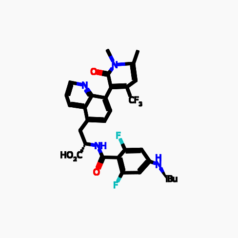 CC[C@H](C)Nc1cc(F)c(C(=O)N[C@@H](Cc2ccc(-c3c(C(F)(F)F)cc(C)n(C)c3=O)c3ncccc23)C(=O)O)c(F)c1